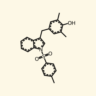 Cc1ccc(S(=O)(=O)n2cc(Cc3cc(C)c(O)c(C)c3)c3ccccc32)cc1